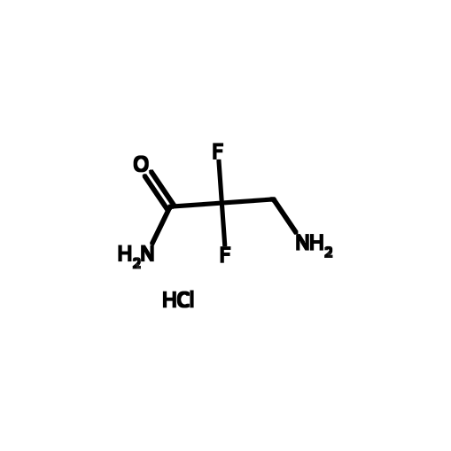 Cl.NCC(F)(F)C(N)=O